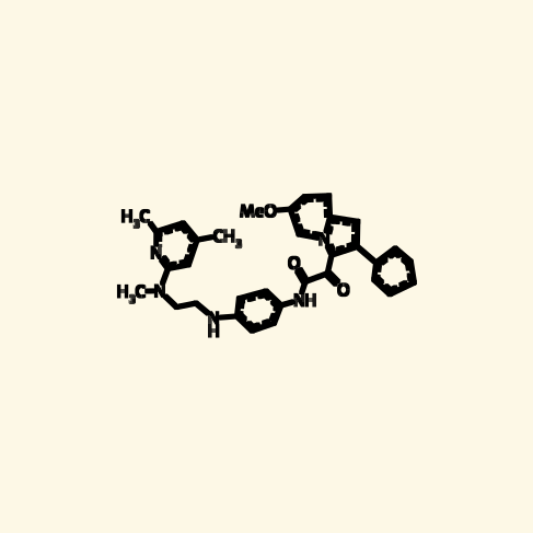 COc1ccc2cc(-c3ccccc3)c(C(=O)C(=O)Nc3ccc(NCCN(C)c4cc(C)cc(C)n4)cc3)n2c1